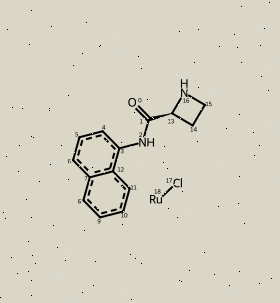 O=C(Nc1cccc2ccccc12)[C@@H]1CCN1.[Cl][Ru]